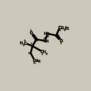 CCOC(=O)C(=O)NNC(=O)C(C)(C)COC(C)=O